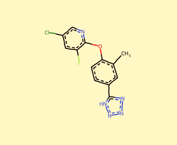 Cc1cc(-c2nnn[nH]2)ccc1Oc1ncc(Cl)cc1F